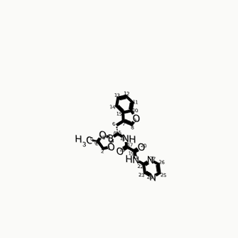 C[C@@H]1COB([C@H](Cc2coc3ccccc23)NC(=O)C(=O)Nc2cnccn2)O1